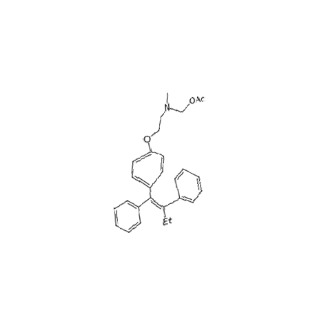 CC/C(=C(\c1ccccc1)c1ccc(OCCN(C)COC(C)=O)cc1)c1ccccc1